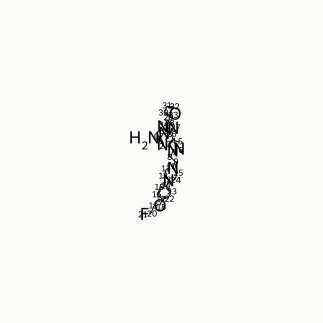 Nc1nc2c(cnn2CCN2CCN(c3ccc(OCCF)cc3)CC2)c2nc(-c3ccco3)nn12